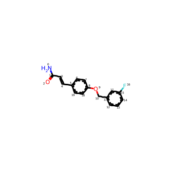 NC(=O)C=Cc1ccc(OCc2cccc(F)c2)cc1